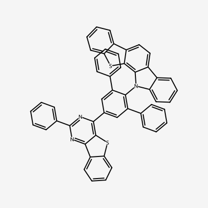 c1ccc(-c2nc(-c3cc(-c4ccccc4)c(-n4c5ccccc5c5ccc6c7ccccc7sc6c54)c(-c4ccccc4)c3)c3sc4ccccc4c3n2)cc1